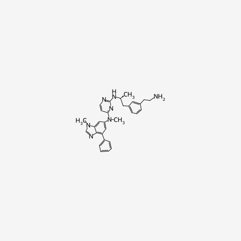 C[C@@H](Cc1cccc(CCN)c1)Nc1nccc(N(C)c2cc(-c3ccccc3)c3ncn(C)c3c2)n1